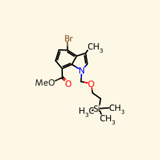 COC(=O)c1ccc(Br)c2c(C)cn(COCC[Si](C)(C)C)c12